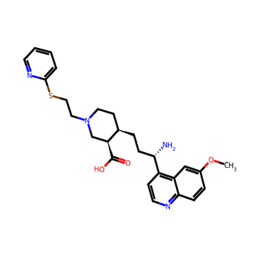 COc1ccc2nccc([C@@H](N)CC[C@@H]3CCN(CCSc4ccccn4)C[C@@H]3C(=O)O)c2c1